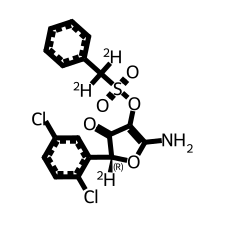 [2H]C([2H])(c1ccccc1)S(=O)(=O)OC1=C(N)O[C@]([2H])(c2cc(Cl)ccc2Cl)C1=O